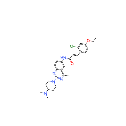 CCOc1ccc(C=CC(=O)Nc2ccc3nc(N4CCC(N(C)C)CC4)nc(C)c3c2)c(Cl)c1